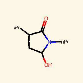 CCCN1C(=O)C(C(C)C)CC1O